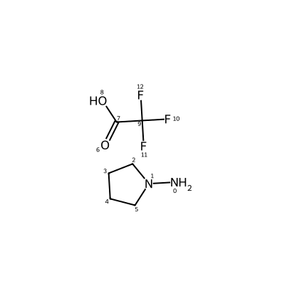 NN1CCCC1.O=C(O)C(F)(F)F